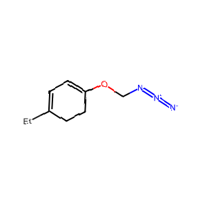 CCC1=CC=C(OCN=[N+]=[N-])CC1